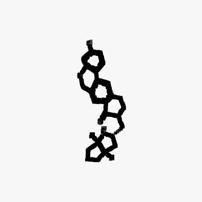 O=C1c2cc3c(cc2CCC1C[C@@H]1C[C@@H]2CCC[C@@H]2N1)-c1ccc(Cl)cc1OC3